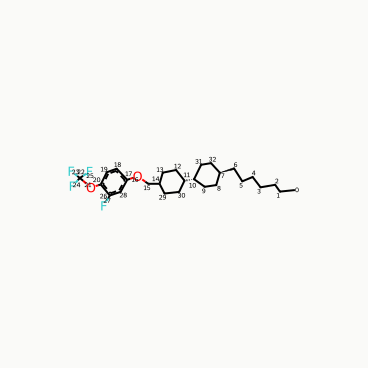 CCCCCCC[C@H]1CC[C@H](C2CCC(COc3ccc(OC(F)(F)F)c(F)c3)CC2)CC1